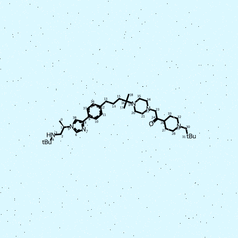 C[C@H](CNC(C)(C)C)n1cnc(-c2ccc(CCCC(C)(C)N3CCN(CC(=O)C4CCN(CC(C)(C)C)CC4)CC3)cc2)c1